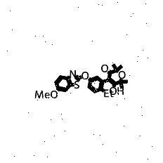 CCc1ccc(Oc2nc3ccc(OC)cc3s2)cc1C1=C(O)C(C)(C)OC(C)(C)C1=O